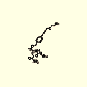 C[C@@H](OCc1ccc(C#CCOCCO)cc1)[C@H](CCC(N)=O)NC(=O)OC(C)(C)C